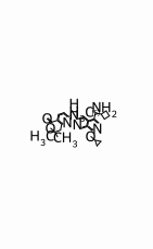 CC1(C)Cc2nc(Nc3cc4c([C@@](C)(N)C5CCC5)cnc(OC5CC5)c4cn3)ccc2C(=O)O1